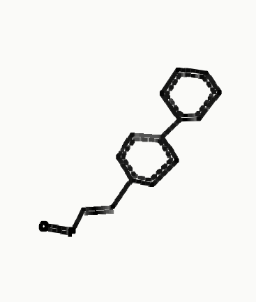 O=PC=Cc1ccc(-c2ccccc2)cc1